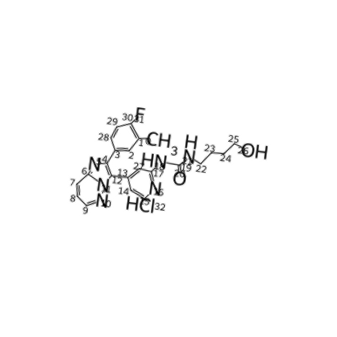 Cc1cc(-c2nc3cccnn3c2-c2ccnc(NC(=O)NCCCCO)c2)ccc1F.Cl